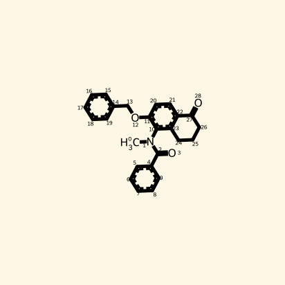 CN(C(=O)c1ccccc1)c1c(OCc2ccccc2)ccc2c1CCCC2=O